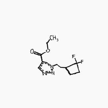 CCOC(=O)c1cnnn1CC1CCC1(F)F